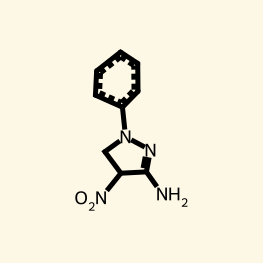 NC1=NN(c2ccccc2)CC1[N+](=O)[O-]